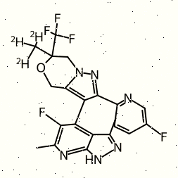 [2H]C([2H])([2H])C1(C(F)(F)F)Cn2nc(-c3ccc(F)cn3)c(-c3c(F)c(C)nc4[nH]nc(C)c34)c2CO1